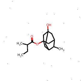 CCC(C)C(=O)OC12CC3CC(O)(CC(C1)C3C)C2